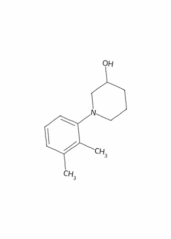 Cc1cccc(N2CCCC(O)C2)c1C